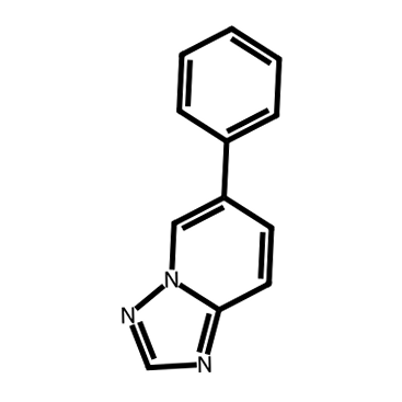 c1ccc(-c2ccc3ncnn3c2)cc1